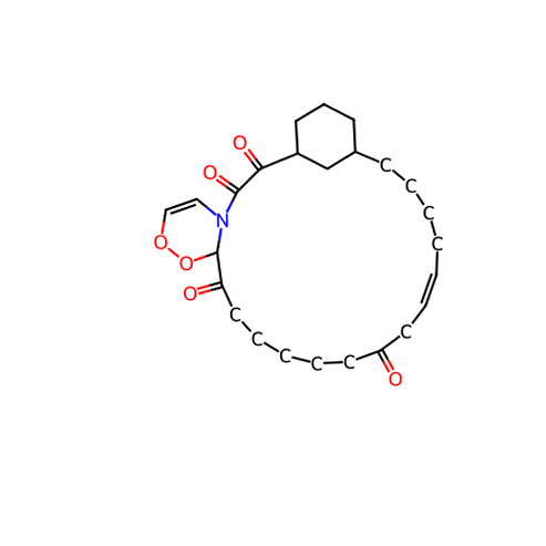 O=C1CC=CCCCCC2CCCC(C2)C(=O)C(=O)N2C=COOC2C(=O)CCCCC1